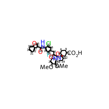 COC1=CCN(C(O[C@H]2CC[C@@H](C(=O)O)CC2)(C(=O)Cc2cc(Cl)c(NC(=O)c3coc4ccccc34)cc2F)N2CCCC2)C=C1OC